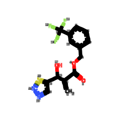 C=C(C(=O)OCc1cccc(C(F)(F)F)c1)C(O)c1cnns1